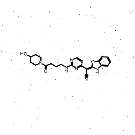 N#C/C(=C1\Nc2ccccc2O1)c1ccnc(NCCCC(=O)N2CCC(O)CC2)n1